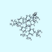 CC(C)c1cc([C](C2CCCC2)=[Zr+2]([CH]2C=CC=C2)[CH]2c3cc(C(C)(C)C)ccc3-c3ccc(C(C)(C)C)cc32)cc(C(C)C)c1.[Cl-].[Cl-]